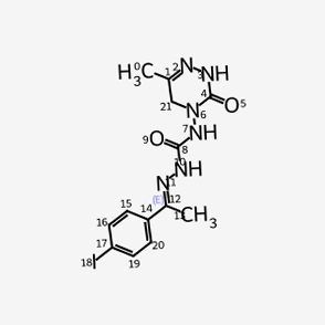 CC1=NNC(=O)N(NC(=O)N/N=C(\C)c2ccc(I)cc2)C1